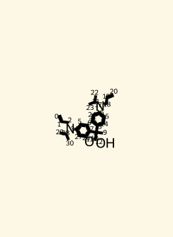 C=CCN(c1ccc(C(C)(C(=O)O)c2ccc(N(CC=C)C(C)C)cc2)cc1)C(C)C